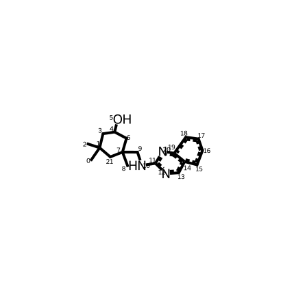 CC1(C)CC(O)CC(C)(CNc2ncc3ccccc3n2)C1